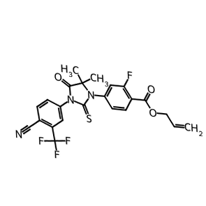 C=CCOC(=O)c1ccc(N2C(=S)N(c3ccc(C#N)c(C(F)(F)F)c3)C(=O)C2(C)C)cc1F